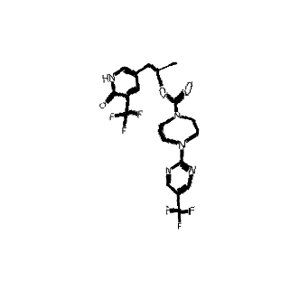 C[C@H](Cc1c[nH]c(=O)c(C(F)(F)F)c1)OC(=O)N1CCN(c2ncc(C(F)(F)F)cn2)CC1